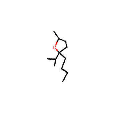 CCCCC1(C(C)C)CCC(C)O1